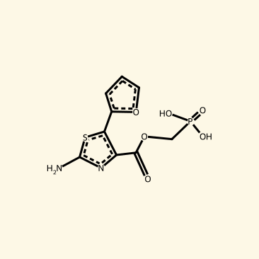 Nc1nc(C(=O)OCP(=O)(O)O)c(-c2ccco2)s1